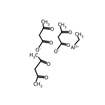 CC(=O)CC(=O)[O-].CC(=O)CC(=O)[O-].CC(=O)CC(C)=O.C[CH2][Al+2]